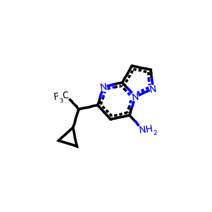 Nc1cc(C(C2CC2)C(F)(F)F)nc2ccnn12